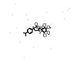 COc1c(OC)c(Cl)c2sc(CC(C)(C(=O)O)c3ccc(C(C)C)cc3)cc2c1Cl